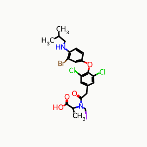 CC(C)CNc1ccc(Oc2c(Cl)cc(CC(=O)N(CI)C(C)C(=O)O)cc2Cl)cc1Br